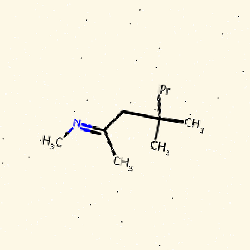 C/N=C(\C)CC(C)(C)C(C)C